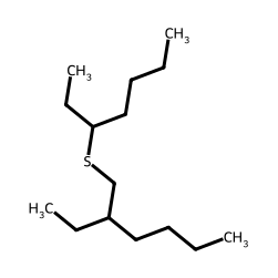 CCCCC(CC)CSC(CC)CCCC